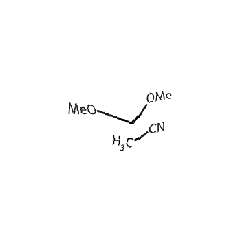 CC#N.COCOC